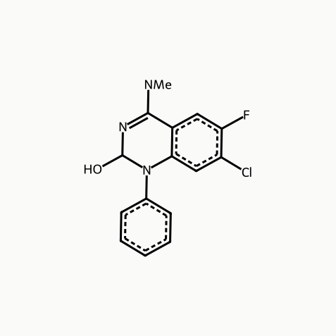 CNC1=NC(O)N(c2ccccc2)c2cc(Cl)c(F)cc21